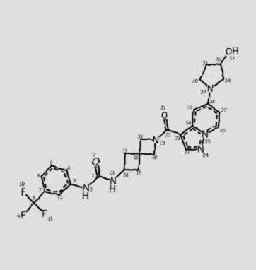 O=C(Nc1cccc(C(F)(F)F)c1)NC1CC2(C1)CN(C(=O)c1cnn3ccc(N4CCC(O)C4)cc13)C2